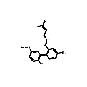 CCc1ccc(-c2cc(OC)ccc2F)c(COCC=C(C)C)c1